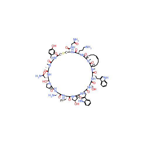 CC(C)C[C@@H]1NC(=O)[C@H](CN)NC(=O)[C@@H]2CCCN2C(O)[C@H](CC(N)=O)NC(=O)[C@H](C)N(C)C(=O)[C@H](Cc2ccc(O)cc2)NC(=O)CSC[C@H](C(=O)NCC(N)=O)NC(=O)[C@@H](CCCN)NC(=O)[C@H]2CCC/C=C\CCC[C@@H](C(=O)N2C)N(C)C(=O)[C@H](CCc2c[nH]c3ccccc23)NC(=O)[C@H](CO)NC(=O)[C@@H](Cc2c[nH]c3ccccc23)NC(=O)[C@@H]2C[C@@H](O)CN2C1=O